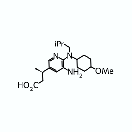 COC1CCC(N(CC(C)C)c2ncc([C@H](C)CC(=O)O)cc2N)CC1